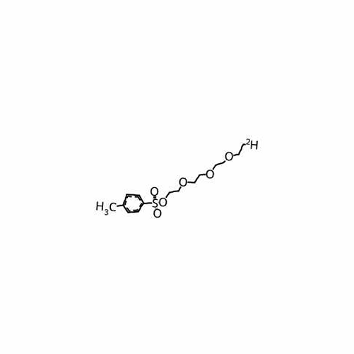 [2H]CCOCCOCCOCCOS(=O)(=O)c1ccc(C)cc1